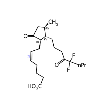 CCCC(F)(F)C(=O)CCC[C@H]1[C@H](C)CC(=O)[C@@H]1C/C=C\CCCC(=O)O